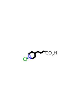 O=C(O)CCCC1CCN(Cl)CC1